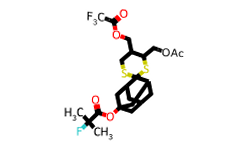 CC(=O)OCC1SC2(SCC1COC(=O)C(F)(F)F)C1CC3CC2CC(OC(=O)C(C)(C)F)(C3)C1